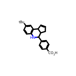 CC(C)(C)c1ccc2c(c1)C1C=CCC1C(c1ccc(C(=O)O)cc1)N2